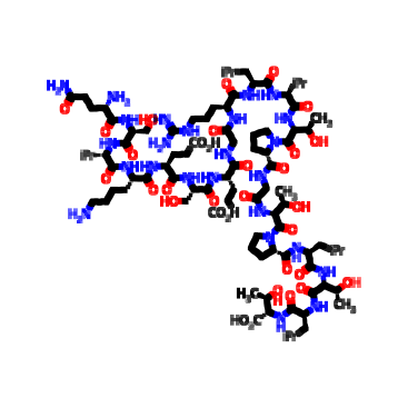 CC(C)C[C@H](NC(=O)[C@H](CCCNC(=N)N)NC(=O)CNC(=O)[C@H](CCC(=O)O)NC(=O)[C@H](CO)NC(=O)[C@H](CCC(=O)O)NC(=O)[C@H](CCCCN)NC(=O)[C@@H](NC(=O)[C@H](CO)NC(=O)[C@@H](N)CCC(N)=O)C(C)C)C(=O)N[C@H](C(=O)N[C@H](C(=O)N1CCC[C@H]1C(=O)NCC(=O)N[C@H](C(=O)N1CCC[C@H]1C(=O)N[C@@H](CC(C)C)C(=O)N[C@H](C(=O)N[C@@H](CC(C)C)C(=O)N[C@H](C(=O)O)[C@@H](C)O)[C@@H](C)O)[C@@H](C)O)[C@@H](C)O)C(C)C